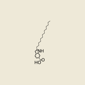 CCCCCCCCCCCCCCc1cc2ccc(C(=O)O)cc2[nH]1